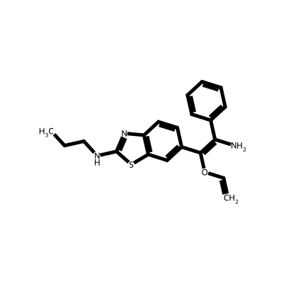 C=CO/C(=C(\N)c1ccccc1)c1ccc2nc(NCCC)sc2c1